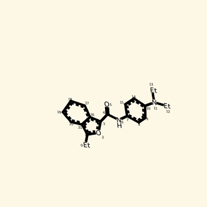 CCc1oc(C(=O)Nc2ccc(N(CC)CC)cc2)c2ccccc12